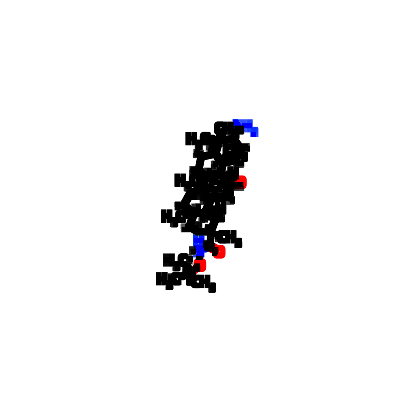 CC(C)(C)ONC(=O)[C@@]1(C)CC[C@]2(C)CC[C@]3(C)C(=CC(=O)[C@@H]4[C@@]5(C)CC[C@H](N)C(C)(C)C5CC[C@]43C)[C@@H]2C1